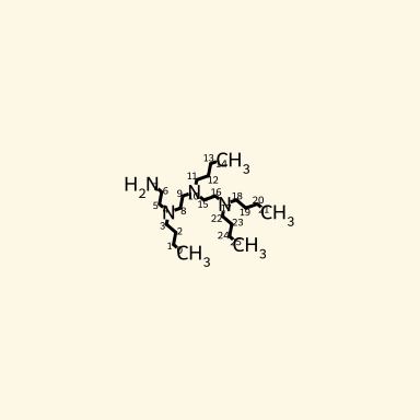 CCCCN(CCN)CCN(CCCC)CCN(CCCC)CCCC